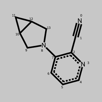 N#Cc1ncccc1N1CC2CC2C1